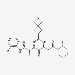 CC(NC(=O)C(CC(=O)N1CCCC[C@@H]1C)NC(=O)C1CC2(COC2)C1)c1nc2cccc(F)c2[nH]1